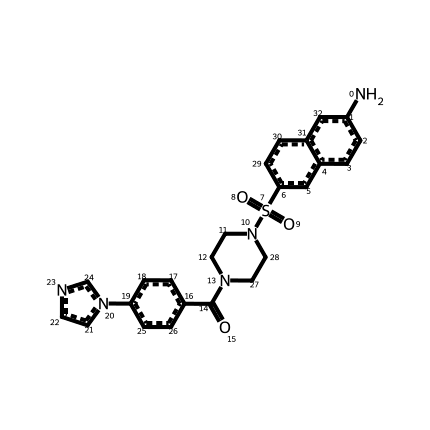 Nc1ccc2cc(S(=O)(=O)N3CCN(C(=O)c4ccc(-n5ccnc5)cc4)CC3)ccc2c1